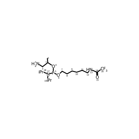 CC(CN)OP(OCCCCCCNC(=O)C(F)(F)F)N(C(C)C)C(C)C